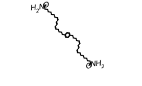 NC(=O)CCCCCCC\C=C/C=C/C=C\CCCCc1ccc(CCCC\C=C/C=C/C=C\CCCCCCCC(N)=O)cc1